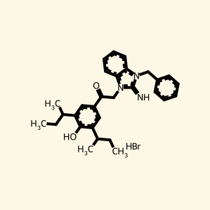 Br.CCC(C)c1cc(C(=O)Cn2c(=N)n(Cc3ccccc3)c3ccccc32)cc(C(C)CC)c1O